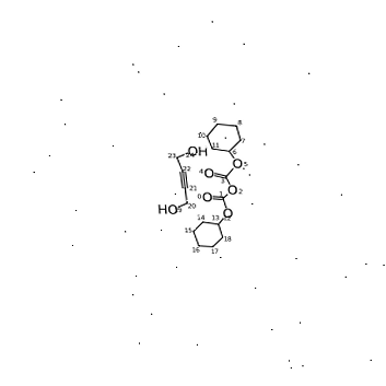 O=C(OC(=O)OC1CCCCC1)OC1CCCCC1.OCC#CCO